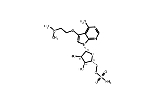 CN(C)CCSc1nn([C@@H]2O[C@H](COS(N)(=O)=O)[C@@H](O)[C@H]2O)c2ncnc(N)c12